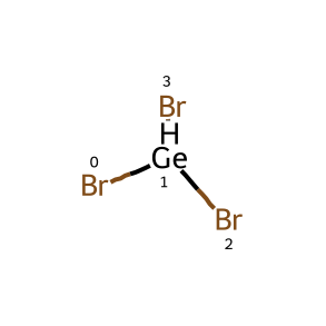 [Br][GeH]([Br])[Br]